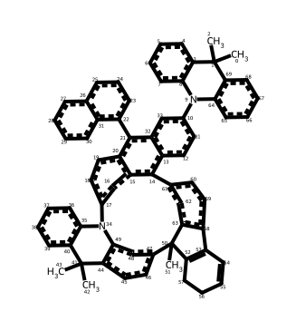 CC1(C)c2ccccc2N(c2ccc3c4c5cc(ccc5c(-c5cccc6ccccc56)c3c2)N2c3ccccc3C(C)(C)c3ccc(cc32)C2(C)C3=C(C=CCC3)c3ccc-4cc32)c2ccccc21